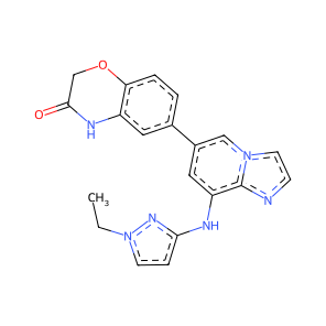 CCn1ccc(Nc2cc(-c3ccc4c(c3)NC(=O)CO4)cn3ccnc23)n1